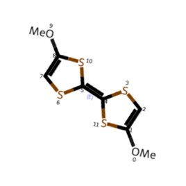 COC1=CS/C(=C2/SC=C(OC)S2)S1